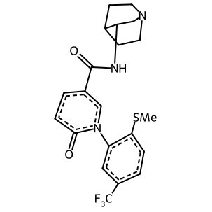 CSc1ccc(C(F)(F)F)cc1-n1cc(C(=O)NC2CN3CCC2CC3)ccc1=O